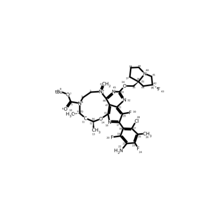 C=[N+]1CCN(C(=O)OC(C)(C)C)[C@@H](C)C[C@H](C)Oc2nc(-c3c(F)c(N)c(F)c(C)c3Cl)c(F)c3nc(OC[C@@]45CCCN4C[C@H](F)C5)nc1c23